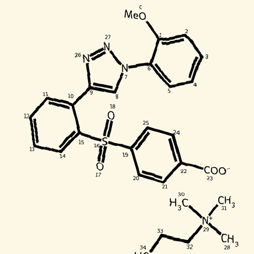 COc1ccccc1-n1cc(-c2ccccc2S(=O)(=O)c2ccc(C(=O)[O-])cc2)nn1.C[N+](C)(C)CCO